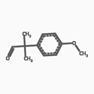 COc1ccc(C(C)(C)C=O)cc1